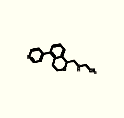 CCNC[C@H]1OCCc2c(-c3ccncc3)cccc21